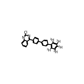 [2H]c1c([2H])c([2H])c(-c2ccc(-c3ccc(-c4nc(Cl)nc5ccccc45)cc3)cc2)c([2H])c1[2H]